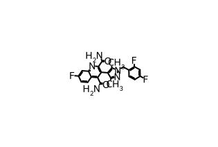 Cc1nn(Cc2ccc(F)cc2F)c(C)c1-c1c(C(N)=O)nc2cc(F)ccc2c1C(N)=O